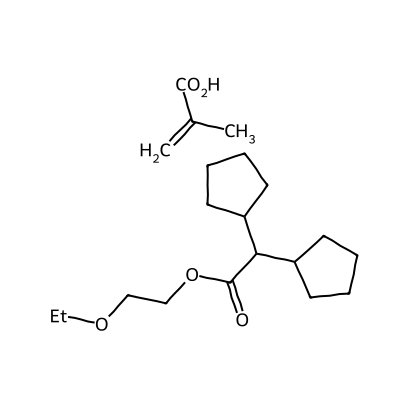 C=C(C)C(=O)O.CCOCCOC(=O)C(C1CCCC1)C1CCCC1